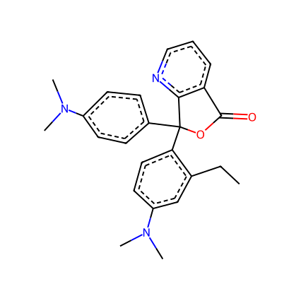 CCc1cc(N(C)C)ccc1C1(c2ccc(N(C)C)cc2)OC(=O)c2cccnc21